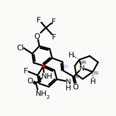 NC(=O)Nc1cc(Cl)c(OC(F)(F)F)cc1/C=C/C(=O)N1[C@@H]2CC[C@H]1C[C@H](Nc1ccc(F)cc1)C2